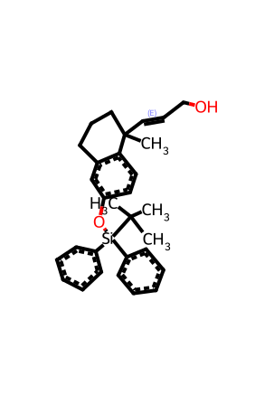 CC1(/C=C/CO)CCCc2cc(O[Si](c3ccccc3)(c3ccccc3)C(C)(C)C)ccc21